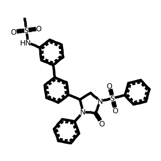 CS(=O)(=O)Nc1cccc(-c2cccc(C3CN(S(=O)(=O)c4ccccc4)C(=O)N3c3ccccc3)c2)c1